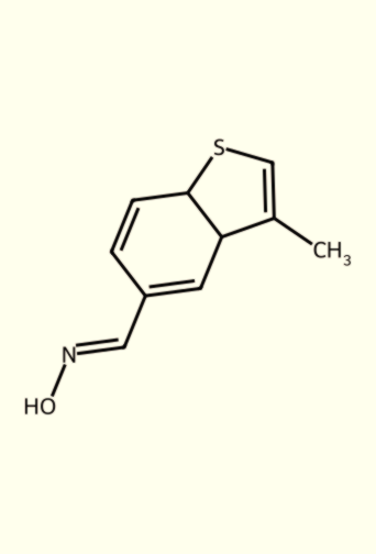 CC1=CSC2C=CC(C=NO)=CC12